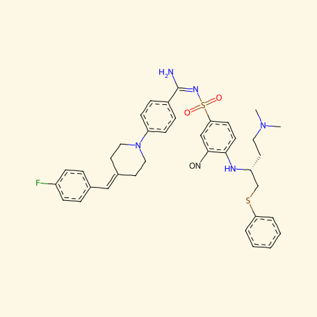 CN(C)CC[C@H](CSc1ccccc1)Nc1ccc(S(=O)(=O)/N=C(/N)c2ccc(N3CCC(=Cc4ccc(F)cc4)CC3)cc2)cc1N=O